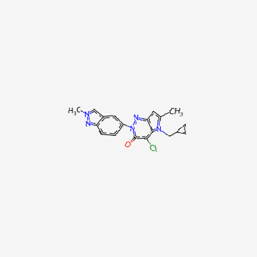 Cc1cc2nn(-c3ccc4nn(C)cc4c3)c(=O)c(Cl)c2n1CC1CC1